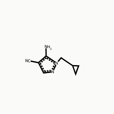 N#Cc1cnn(CC2CC2)c1N